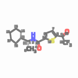 C[C@@H](NC(=O)c1ccc(C(=O)C(F)(F)F)s1)C1CCCCC1